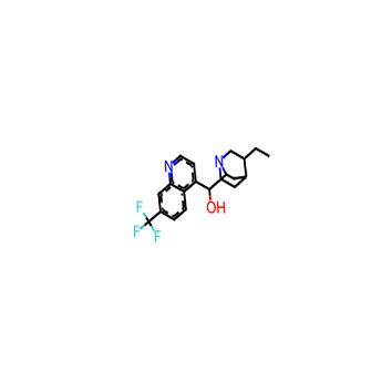 CCC1CN2CCC1CC2C(O)c1ccnc2cc(C(F)(F)F)ccc12